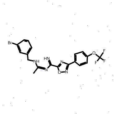 C/C(=N/C(=N)c1nc(-c2ccc(OC(F)(F)F)cc2)no1)NCc1cccc(Br)c1